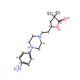 CCC1(CC)CC(CCN2CCN(c3ccc(N)cc3)CC2)OC1=O